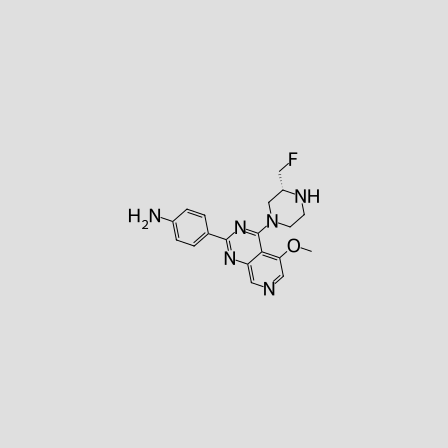 COc1cncc2nc(-c3ccc(N)cc3)nc(N3CCN[C@@H](CF)C3)c12